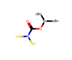 CCC[CH2][Zn]([CH2]CCC)[O]C(=O)N(S)S